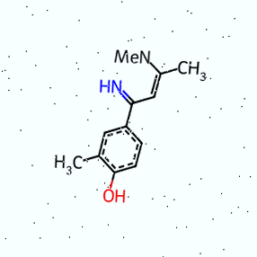 CN/C(C)=C\C(=N)c1ccc(O)c(C)c1